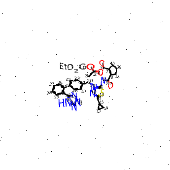 CCOC(=O)OC(C)OC(=O)C1=C(C(=O)N=c2sc(C3CC3)nn2Cc2ccc(-c3ccccc3-c3nnn[nH]3)cc2)CCC1